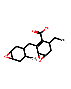 CCC1CC2OC2C(CC2CC3OC3CC2C)=C1C(=O)O